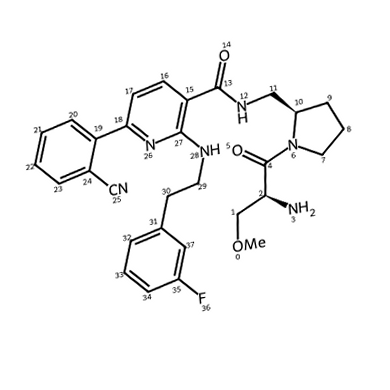 COC[C@H](N)C(=O)N1CCC[C@@H]1CNC(=O)c1ccc(-c2ccccc2C#N)nc1NCCc1cccc(F)c1